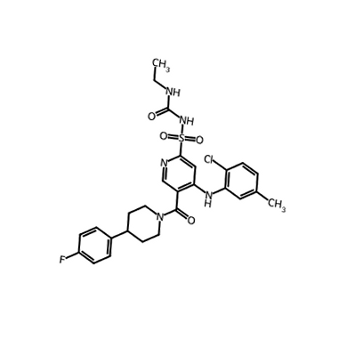 CCNC(=O)NS(=O)(=O)c1cc(Nc2cc(C)ccc2Cl)c(C(=O)N2CCC(c3ccc(F)cc3)CC2)cn1